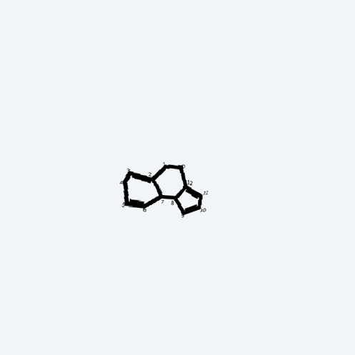 [C]1CC2=CCC=CC2C2C=CC=C12